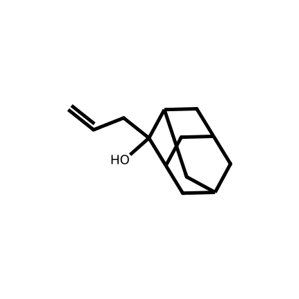 C=CCC1(O)C2CC3CC(C2)CC1C3